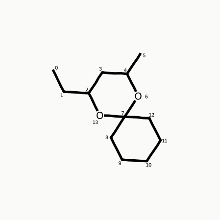 CCC1CC(C)OC2(CCCCC2)O1